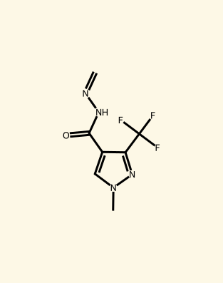 C=NNC(=O)c1cn(C)nc1C(F)(F)F